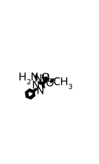 CCOC(=O)c1cnc(-c2ccccc2)nc1NN